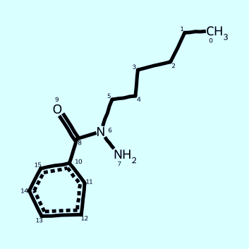 CCCCCCN(N)C(=O)c1ccccc1